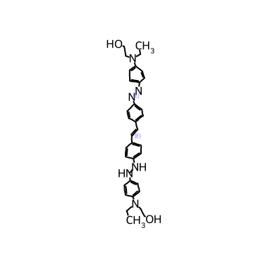 CCN(CCO)c1ccc(/N=N/c2ccc(/C=C/c3ccc(NNc4ccc(N(CC)CCO)cc4)cc3)cc2)cc1